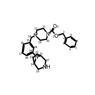 O=C(OCc1ccccc1)N1CCN(Cc2cccc(N3C4CCC3CNC4)c2)CC1